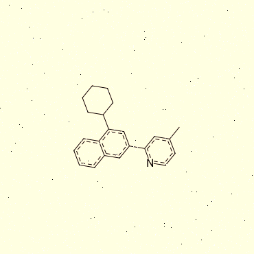 Cc1ccnc(-c2cc(C3CCCCC3)c3ccccc3c2)c1